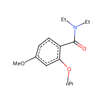 CCCOc1cc(OC)ccc1C(=O)N(CC)CC